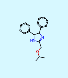 CC(C)OCC1=NC(c2ccccc2)C(c2ccccc2)N1